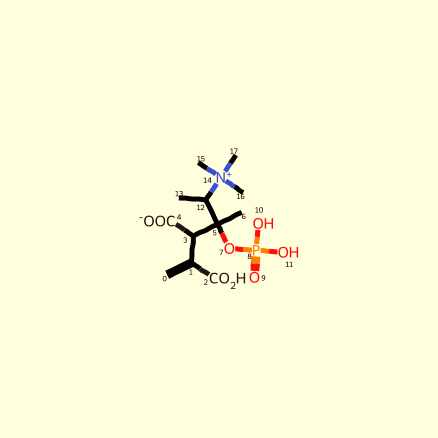 C=C(C(=O)O)C(C(=O)[O-])C(C)(OP(=O)(O)O)C(C)[N+](C)(C)C